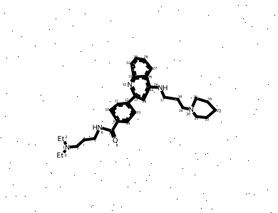 CCN(CC)CCCNC(=O)c1ccc(-c2cc(NCCCN3CCCCC3)c3ccccc3n2)cc1